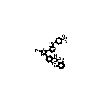 CC(C)c1nc(-c2ccc(F)c(NS(=O)(=O)c3c(F)cccc3F)c2)c(-c2ccnc(N[C@H]3CC[C@H](S(C)(=O)=O)CC3)n2)s1